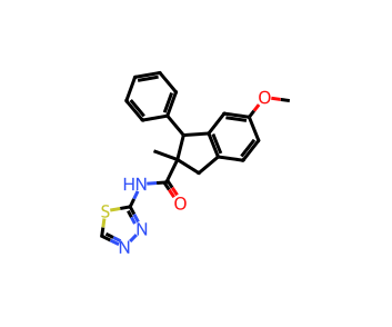 COc1ccc2c(c1)C(c1ccccc1)C(C)(C(=O)Nc1nncs1)C2